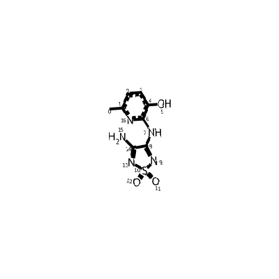 Cc1ccc(O)c(NC2=NS(=O)(=O)N=C2N)n1